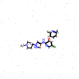 CC(=O)N1CCC(N2C=C(Nc3ncc(Br)cc3Oc3ccc(C)nc3C)SN2)CC1